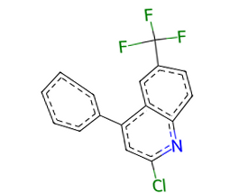 FC(F)(F)c1ccc2nc(Cl)cc(-c3ccccc3)c2c1